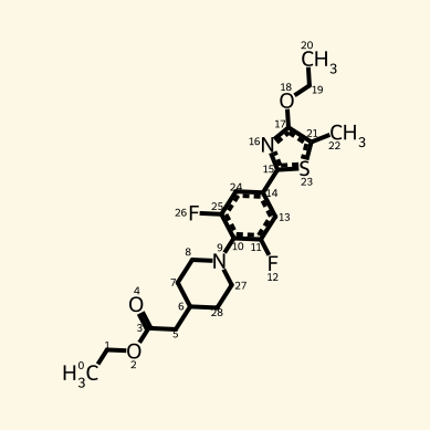 CCOC(=O)CC1CCN(c2c(F)cc(-c3nc(OCC)c(C)s3)cc2F)CC1